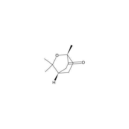 CC1(C)O[C@]2(C)CC[C@H]1CC2=O